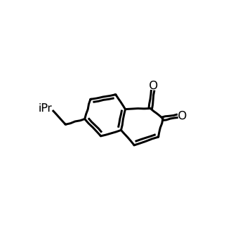 CC(C)Cc1ccc2c(c1)C=CC(=O)C2=O